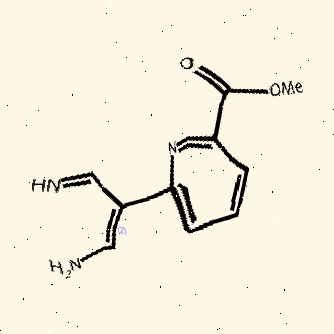 COC(=O)c1cccc(/C(C=N)=C/N)n1